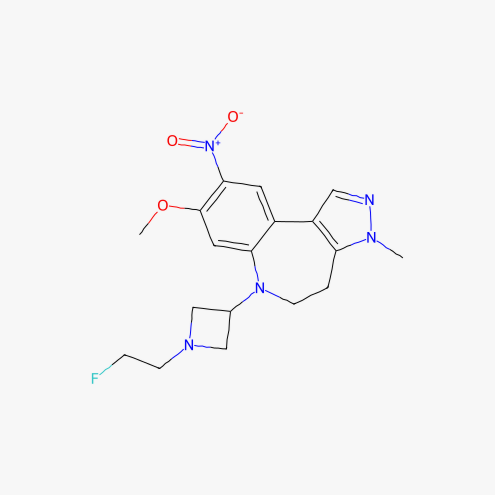 COc1cc2c(cc1[N+](=O)[O-])-c1cnn(C)c1CCN2C1CN(CCF)C1